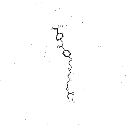 C=CC(=O)OCCOCCOCCOc1ccc(C(=O)Oc2ccc(C(O)=S)cc2)cc1